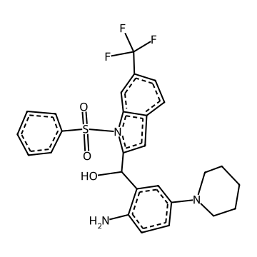 Nc1ccc(N2CCCCC2)cc1C(O)c1cc2ccc(C(F)(F)F)cc2n1S(=O)(=O)c1ccccc1